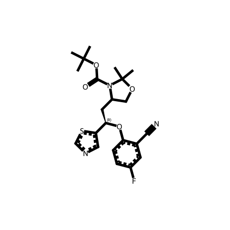 CC(C)(C)OC(=O)N1C(C[C@@H](Oc2ccc(F)cc2C#N)c2cncs2)COC1(C)C